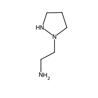 NCCN1CCCN1